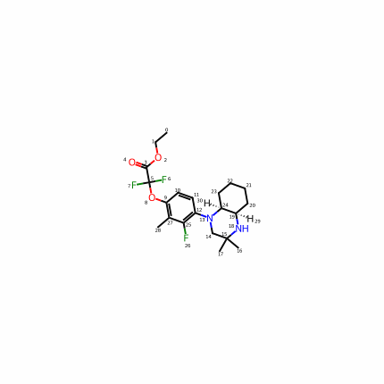 CCOC(=O)C(F)(F)Oc1ccc(N2CC(C)(C)N[C@@H]3CCCC[C@@H]32)c(F)c1C